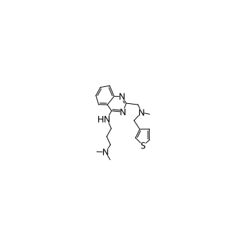 CN(C)CCCNc1nc(CN(C)Cc2ccsc2)nc2ccccc12